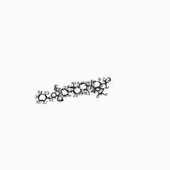 C=C(C)[C@@H]1CC[C@]2(C=O)CC[C@]3(C)[C@H](CCC4[C@@]5(C)CC=C(C6=CC[C@](CF)(C(=O)OCc7ccccc7)CC6)C(C)(C)C5CC[C@]43C)C12